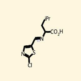 CC(C)CC(/N=C/c1cnc(Cl)s1)C(=O)O